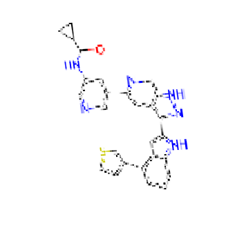 O=C(Nc1cncc(-c2cc3c(-c4cc5c(-c6ccsc6)cccc5[nH]4)n[nH]c3cn2)c1)C1CC1